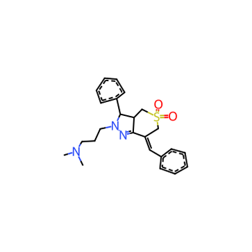 CN(C)CCCN1N=C2C(=Cc3ccccc3)CS(=O)(=O)CC2C1c1ccccc1